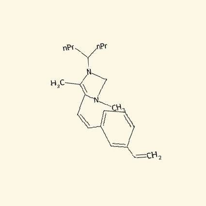 C=Cc1cccc(/C=C\C2=C(C)N(C(CCC)CCC)CN2C)c1